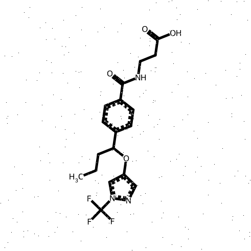 CCCC(Oc1cnn(C(F)(F)F)c1)c1ccc(C(=O)NCCC(=O)O)cc1